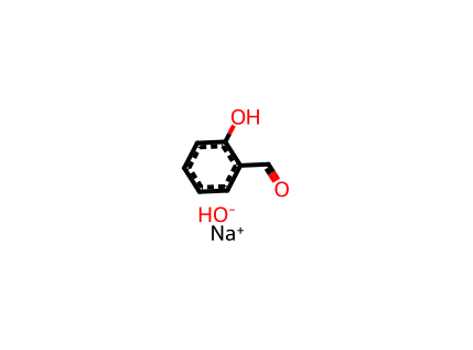 O=Cc1ccccc1O.[Na+].[OH-]